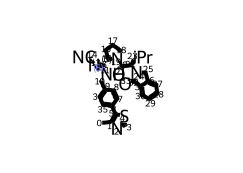 Cc1ncsc1-c1ccc(CN/C(=N/C#N)[C@@H]2CCCN2C(=O)C(C(C)C)N2Cc3ccccc3C2=O)cc1